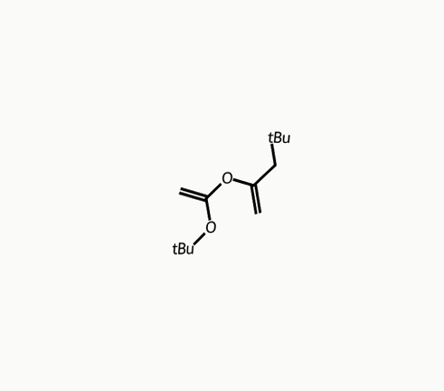 C=C(CC(C)(C)C)OC(=C)OC(C)(C)C